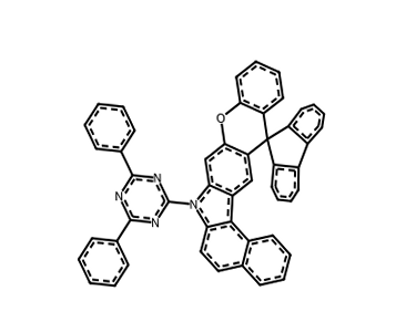 c1ccc(-c2nc(-c3ccccc3)nc(-n3c4cc5c(cc4c4c6ccccc6ccc43)C3(c4ccccc4O5)c4ccccc4-c4ccccc43)n2)cc1